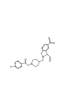 O=CC1c2cc([N+](=O)[O-])ccc2CN1CC1CCN(CC(=O)c2ccc(F)cc2)CC1